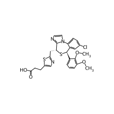 COc1cccc([C@H]2S[C@H](Cc3ncc(CCC(=O)O)s3)c3nccn3-c3ccc(Cl)cc32)c1OC